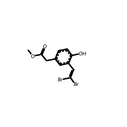 COC(=O)Cc1ccc(O)c(C=C(Br)Br)c1